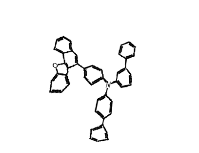 c1ccc(-c2ccc(N(c3ccc(-c4cc5ccccc5c5oc6ccccc6c45)cc3)c3cccc(-c4ccccc4)c3)cc2)cc1